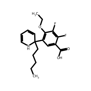 CCCCCC1(c2cc(C(=O)O)c(F)c(F)c2OCC)C=CC=CN1